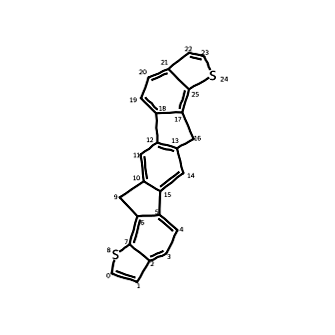 c1cc2ccc3c(c2s1)Cc1cc2c(cc1-3)Cc1c-2ccc2ccsc12